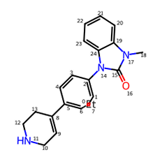 C\C=C(/C=C\C(=C/CC)C1=CCNCC1)n1c(=O)n(C)c2ccccc21